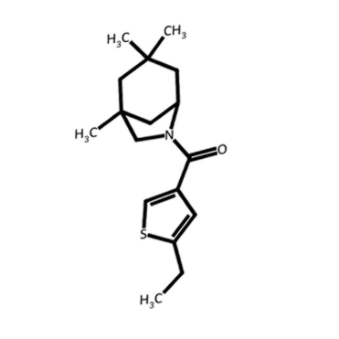 CCc1cc(C(=O)N2CC3(C)CC2CC(C)(C)C3)cs1